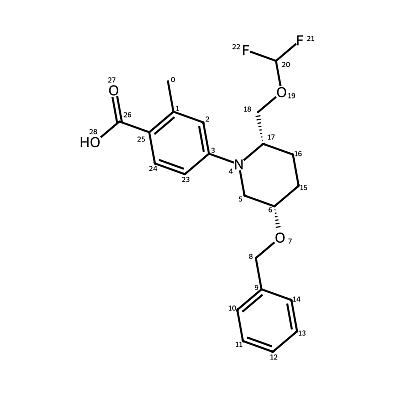 Cc1cc(N2C[C@@H](OCc3ccccc3)CC[C@H]2COC(F)F)ccc1C(=O)O